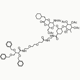 CC[C@@H]1CC(C(=O)NCCNC(=O)CCOCCOCCNC(=O)[C@@H](OCc2ccccc2)[C@@H](COCc2ccccc2)OCc2ccccc2)CC(O[C@@H]2O[C@@H](COC(C)=O)C3OC(=O)[C@@H](CC4CCCCC4)OC3C2NC(C)=O)C1OC1OC(C)C(OC(C)=O)C(OC(C)=O)C1OC(C)=O